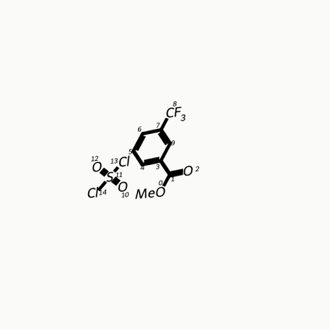 COC(=O)c1cccc(C(F)(F)F)c1.O=S(=O)(Cl)Cl